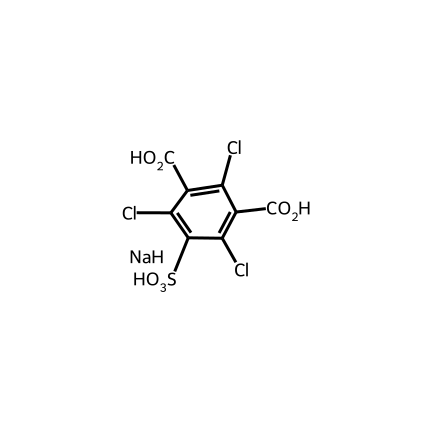 O=C(O)c1c(Cl)c(C(=O)O)c(Cl)c(S(=O)(=O)O)c1Cl.[NaH]